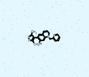 Cc1noc(C)c1-c1cc2c(cc1O)N(Cc1ccccn1)CC=C2